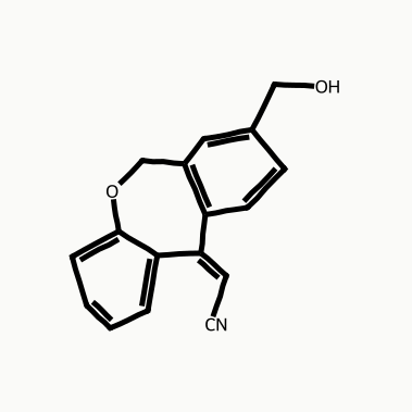 N#CC=C1c2ccc(CO)cc2COc2ccccc21